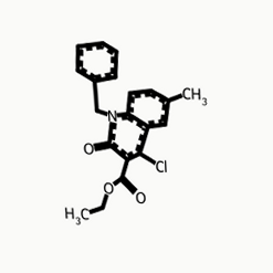 CCOC(=O)c1c(Cl)c2cc(C)ccc2n(Cc2ccccc2)c1=O